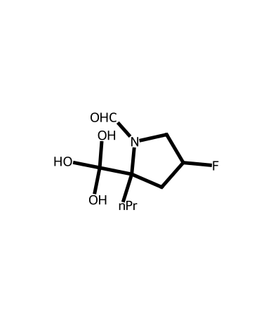 CCCC1(C(O)(O)O)CC(F)CN1C=O